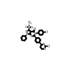 CS(=O)(=O)c1nn(-c2ccccc2)c2nc(-c3ccc(-c4ccnc(Cl)n4)cc3)n(-c3ccc(Cl)cc3)c(=O)c12